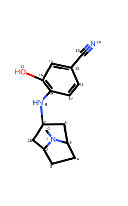 CN1C2CCC1CC(Nc1ccc(C#N)cc1O)C2